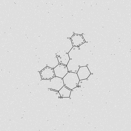 COc1ccccc1C1C2=C(CNC2=O)NC2CCCCC2N1C(=O)CCc1ncccn1